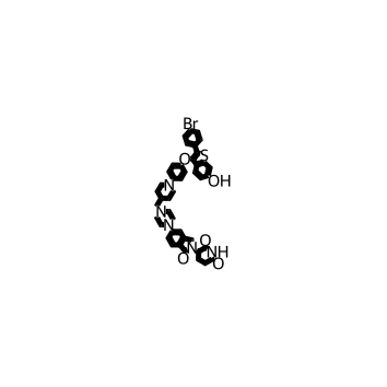 O=C1CCC(N2Cc3cc(N4CCN(CC5CCN(c6ccc(Oc7c(-c8ccc(Br)cc8)sc8cc(O)ccc78)cc6)CC5)CC4)ccc3C2=O)C(=O)N1